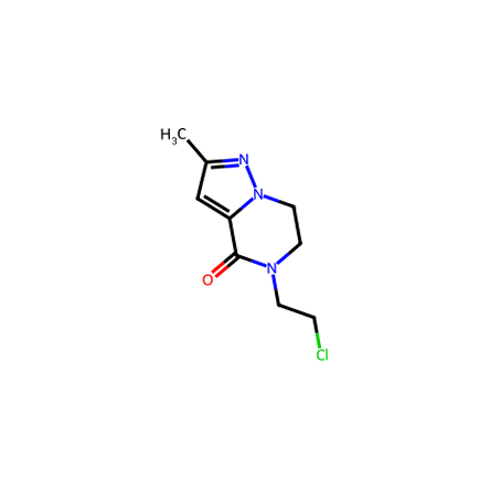 Cc1cc2n(n1)CCN(CCCl)C2=O